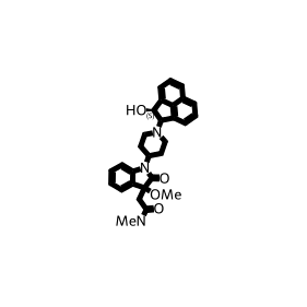 CNC(=O)CC1(OC)C(=O)N(C2CCN(C3c4cccc5cccc(c45)[C@@H]3O)CC2)c2ccccc21